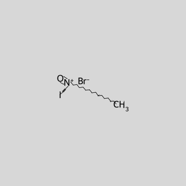 CCCCCCCCCCCCCCCC[N+]1(CC#CI)CCOCC1.[Br-]